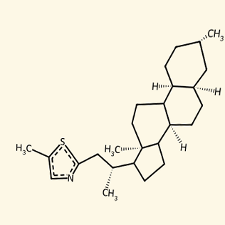 Cc1cnc(C[C@@H](C)C2CCC3[C@@H]4CC[C@@H]5C[C@@H](C)CC[C@@H]5C4CC[C@@]32C)s1